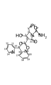 CC(C)CC1C(O)=C(C(=O)OC(c2ccccn2)c2ccccn2)C(=O)N1C(N)=O